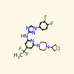 CC(F)(F)c1cc(Nc2ncn(-c3ccc(F)c(F)c3)n2)nc(N2CCN(C3COC3)CC2)c1